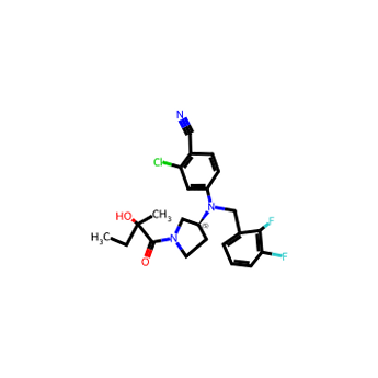 CCC(C)(O)C(=O)N1CC[C@H](N(Cc2cccc(F)c2F)c2ccc(C#N)c(Cl)c2)C1